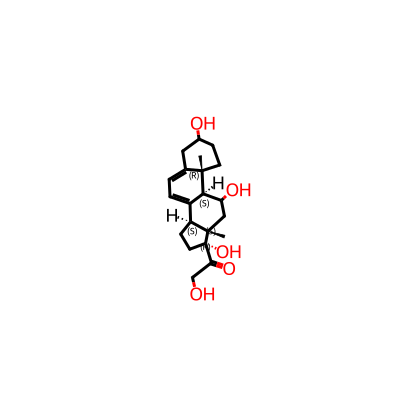 C[C@]12CCC(O)CC1=CC=C1[C@@H]2C(O)C[C@@]2(C)[C@H]1CC[C@]2(O)C(=O)CO